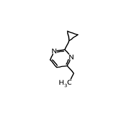 CCc1ccnc(C2CC2)n1